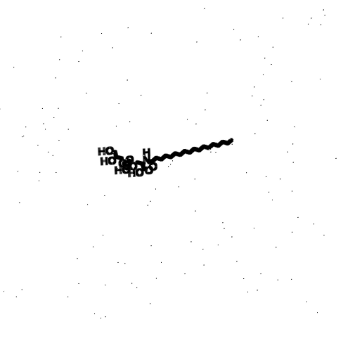 CCCCCCCCCCCCCCCCCC(=O)NC(COP(=O)(O)OCC(O)CO)C(=O)O